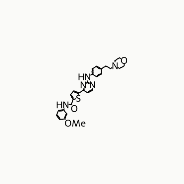 COc1cccc(NC(=O)c2ccc(-c3ccnc(Nc4ccc(CCN5CCOCC5)cc4)n3)s2)c1